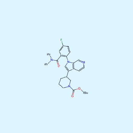 CC(C)N(C(=O)c1cc(F)ccc1-n1cc(C2CCCN(C(=O)OC(C)(C)C)C2)c2ccncc21)C(C)C